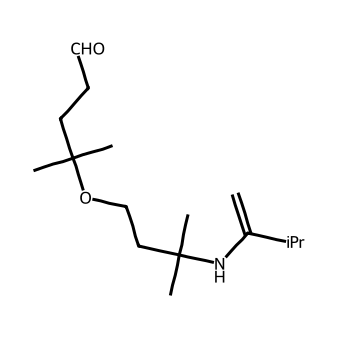 C=C(NC(C)(C)CCOC(C)(C)CCC=O)C(C)C